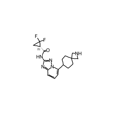 O=C(Nc1nc2cccc(C3CCC4(CC3)CNC4)n2n1)[C@@H]1CC1(F)F